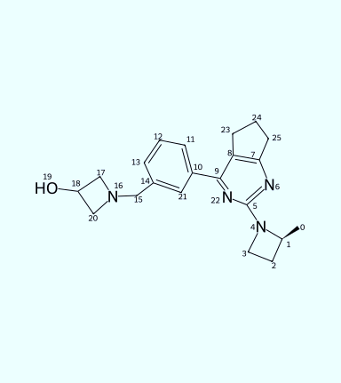 C[C@H]1CCN1c1nc2c(c(-c3cccc(CN4CC(O)C4)c3)n1)CCC2